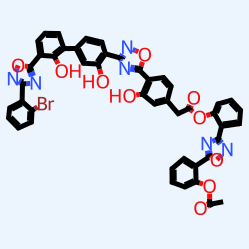 CC(=O)Oc1ccccc1-c1nc(-c2ccccc2OC(=O)Cc2ccc(-c3nc(-c4ccc(-c5cccc(-c6nc(-c7ccccc7Br)no6)c5O)cc4O)no3)c(O)c2)no1